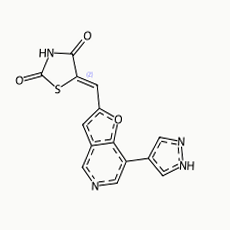 O=C1NC(=O)/C(=C/c2cc3cncc(-c4cn[nH]c4)c3o2)S1